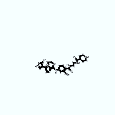 CCc1cc(Nc2nccn3c(-c4c[nH]nc4C(F)(F)F)cnc23)ccc1C(=O)NCCNC(=O)C1CCNCC1